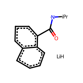 CC(C)[N]C(=O)c1cccc2ccccc12.[LiH]